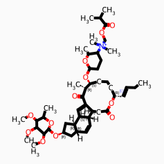 CC/C=C/[C@H]1CCC[C@H](OC2CCC([N+](C)(C)COC(=O)C(C)C)C(C)O2)[C@@H](C)C(=O)C2=C[C@@H]3[C@@H](C=C[C@@H]4C[C@@H](OC5OC(C)C(OC)C(OC)C5OC)C[C@@H]34)[C@@H]2CC(=O)O1